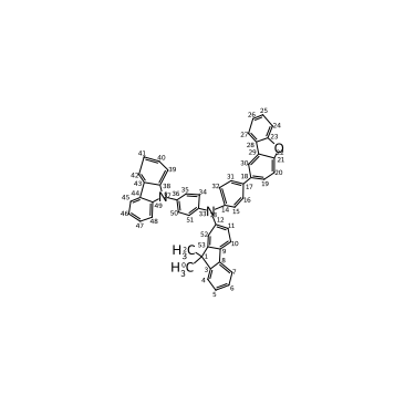 CC1(C)c2ccccc2-c2ccc(N(c3ccc(-c4ccc5oc6ccccc6c5c4)cc3)c3ccc(-n4c5ccccc5c5ccccc54)cc3)cc21